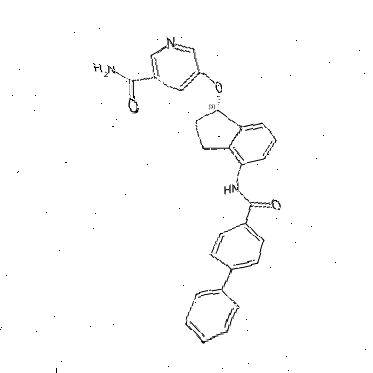 NC(=O)c1cncc(O[C@H]2CCc3c(NC(=O)c4ccc(-c5ccccc5)cc4)cccc32)c1